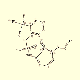 O=[C]Cn1cccc(NS(=O)(=O)Cc2ccccc2C(F)(F)F)c1=O